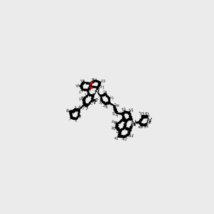 Fc1cc(-c2ccccc2)cc(-c2ccccc2)c1N(c1ccccc1)c1ccc(/C=C/c2ccc3c4c2ccc2cccc(c24)n3-c2ccncc2)cc1